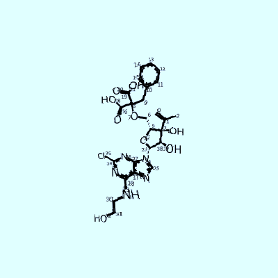 C=C(C)[C@@]1(O)[C@@H](COC(Cc2ccccc2)(C(=O)O)C(=O)O)O[C@@H](n2cnc3c(NCCO)nc(Cl)nc32)[C@@H]1O